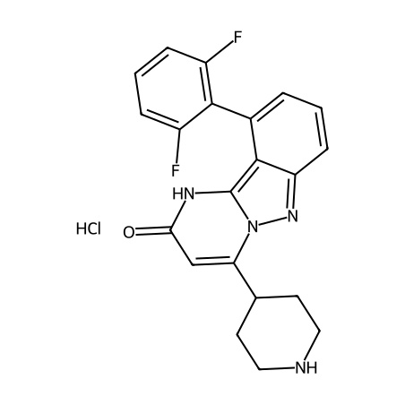 Cl.O=c1cc(C2CCNCC2)n2nc3cccc(-c4c(F)cccc4F)c3c2[nH]1